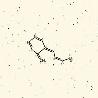 C=c1nnnc/c1=C/C=N\CC